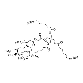 CCCCCCCCCCCCCCCC(=O)OCC(COC(=O)CCCCCCCCCCCCCCC)(COC(=O)CCCCCCCCCCCCCCC)COC(=O)COC(=O)CC(C(=O)O)N(CCN(CC(=O)O)CC(=O)O)CCN(CC(=O)O)CC(=O)O